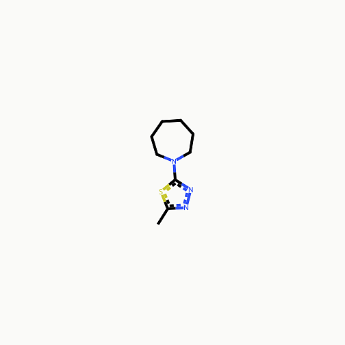 Cc1nnc(N2CCCCCC2)s1